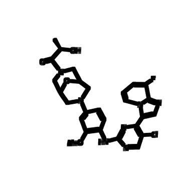 COc1cc(N2CC3CN(C(=O)[C@@H](C)O)CC(C2)O3)ccc1Nc1ncc(Cl)c(-c2cnc3c(F)cccn23)n1